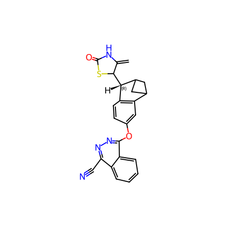 C=C1NC(=O)SC1[C@H]1c2ccc(Oc3nnc(C#N)c4ccccc34)cc2C2CC1C2